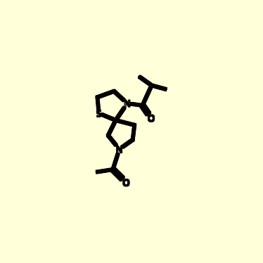 CC(=O)N1CCC2(C1)SCCN2C(=O)C(C)C